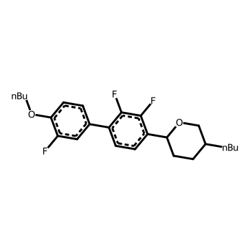 CCCCOc1ccc(-c2ccc(C3CCC(CCCC)CO3)c(F)c2F)cc1F